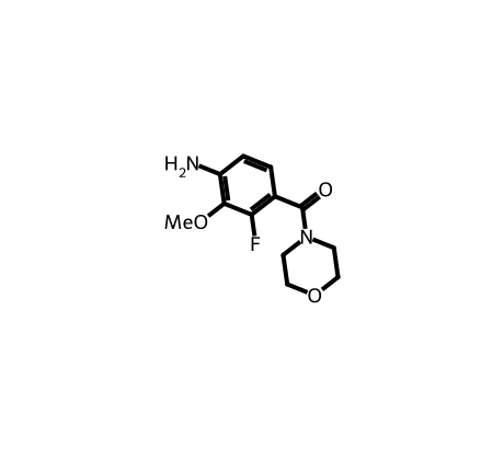 COc1c(N)ccc(C(=O)N2CCOCC2)c1F